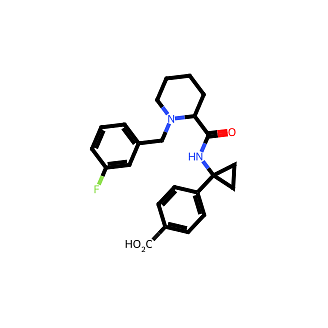 O=C(O)c1ccc(C2(NC(=O)C3CCCCN3Cc3cccc(F)c3)CC2)cc1